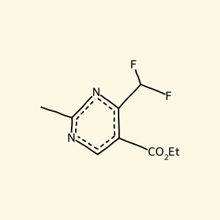 CCOC(=O)c1cnc(C)nc1C(F)F